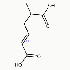 CC(C/C=C/C(=O)O)C(=O)O